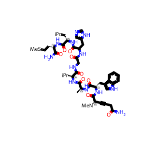 CN[C@@H](C#CCC(N)=O)C(=O)N[C@@H](Cc1c[nH]c2ccccc12)C(=O)N[C@@H](C)C(=O)N[C@H](C(=O)NCC(=O)NC(Cc1cnc[nH]1)C(=O)N[C@@H](CC(C)C)C(=O)N[C@@H](CCSC)C(N)=O)C(C)C